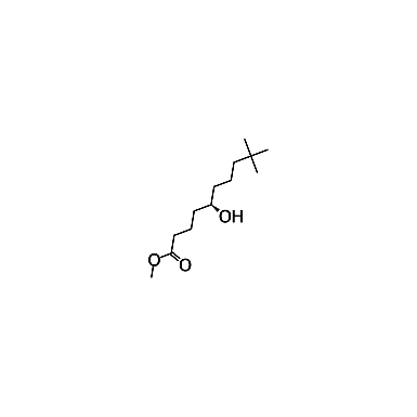 COC(=O)CCC[C@H](O)CCCC(C)(C)C